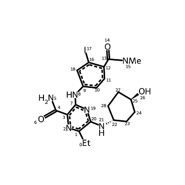 CCc1nc(C(N)=O)c(Nc2ccc(C(=O)NC)c(I)c2)nc1N[C@H]1CC[C@H](O)CC1